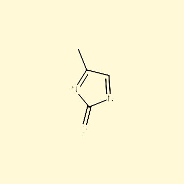 CC1=NC(=O)N=C1